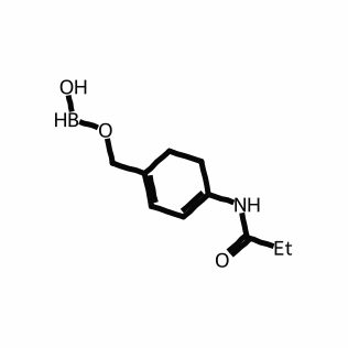 CCC(=O)NC1=CC=C(COBO)CC1